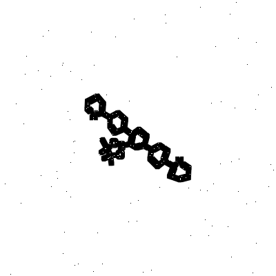 CC1(C)OB(c2cc(-c3ccc(-c4ccccn4)cc3)ccc2C2=CCC(c3ccccn3)C=C2)OC1(C)C